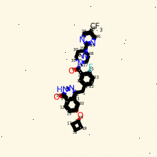 O=C(c1cc(Cc2n[nH]c(=O)c3ccc(OC4CCC4)cc23)ccc1F)N1CC2CCC1CN2c1ncc(C(F)(F)F)cn1